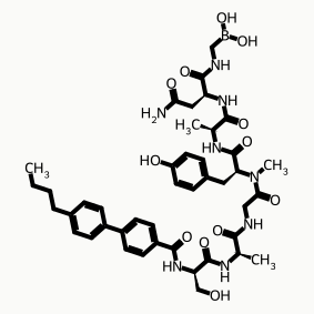 CCCCc1ccc(-c2ccc(C(=O)N[C@H](CO)C(=O)N[C@H](C)C(=O)NCC(=O)N(C)[C@@H](Cc3ccc(O)cc3)C(=O)N[C@@H](C)C(=O)N[C@@H](CC(N)=O)C(=O)NCB(O)O)cc2)cc1